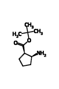 CC(C)(C)OC(=O)[C@@H]1CCC[C@@H]1N